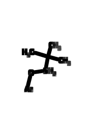 CC(=O)O[SiH2]C(C)(C)C